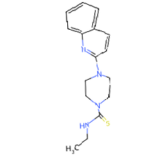 CCNC(=S)N1CCN(c2ccc3ccccc3n2)CC1